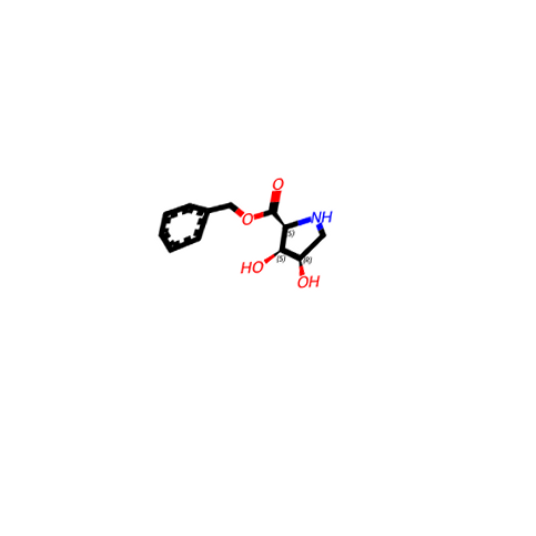 O=C(OCc1ccccc1)[C@H]1NC[C@@H](O)[C@H]1O